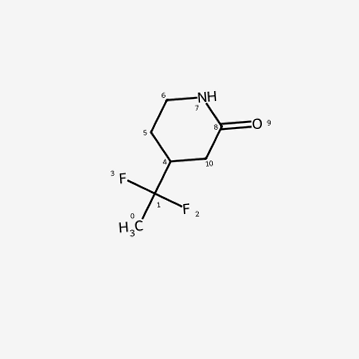 CC(F)(F)C1CCNC(=O)C1